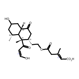 C/C(=C\C(=O)O)CC(=O)OCC[C@H]1CC(=O)[C@H]2CC(O)C[C@@H](C)C2[C@@]1(C)C(=O)/C=C\O